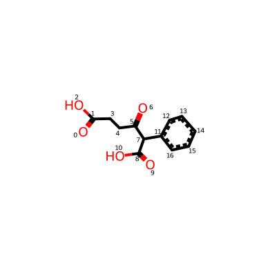 O=C(O)CCC(=O)C(C(=O)O)c1ccccc1